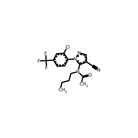 CCCCN(C(C)=O)c1c(C#N)cnn1-c1ccc(C(F)(F)F)cc1Cl